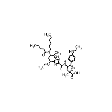 CCCCCCN(C(=O)CCCC)C(CC(OCC)c1nc(C(=O)NC(Cc2ccc(NCC)cc2)CC(C)(C)C(=O)O)cs1)C(C)C